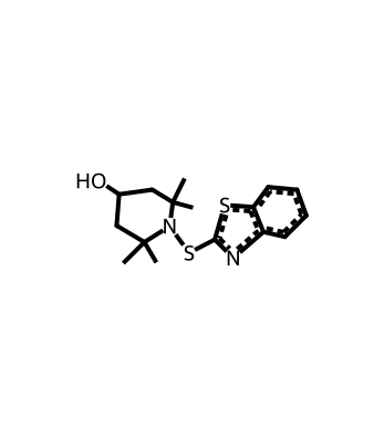 CC1(C)CC(O)CC(C)(C)N1Sc1nc2ccccc2s1